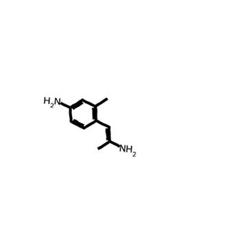 C/C(N)=C\c1ccc(N)cc1C